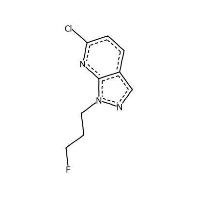 FCCCn1ncc2ccc(Cl)nc21